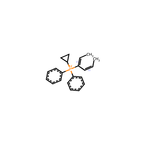 C/C=C\C(=C/C)[PH](c1ccccc1)(c1ccccc1)C1CC1